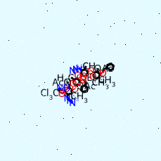 CC[C@@H]1O[C@H](O[C@@H]2C(C)O[C@@H](O[C@@H]3C(COC(C)=O)OC(OC(=N)C(Cl)(Cl)Cl)C(N=[N+]=[N-])[C@H]3C)C(OC(C)=O)[C@@H]2OCc2ccccc2)C(N=[N+]=[N-])C(C)[C@@H]1O[C@@H]1O[C@@H](C)[C@@H](C)C(OCc2ccccc2)C1OC(C)=O